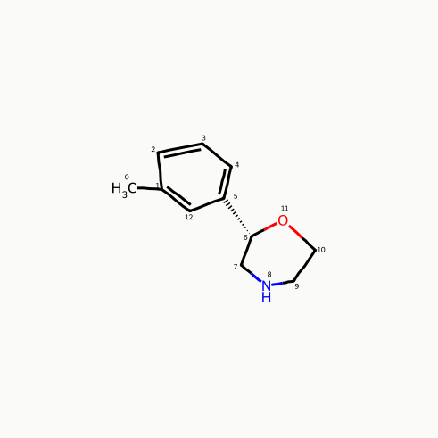 Cc1cccc([C@H]2CNCCO2)c1